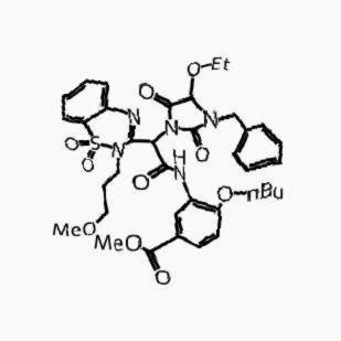 CCCCOc1ccc(C(=O)OC)cc1NC(=O)C(C1=Nc2ccccc2S(=O)(=O)N1CCCOC)N1C(=O)C(OCC)N(Cc2ccccc2)C1=O